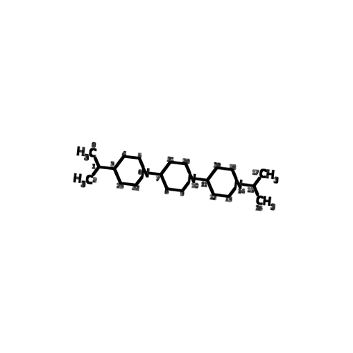 CC(C)C1CCN(C2CCN(C3CCN(C(C)C)CC3)CC2)CC1